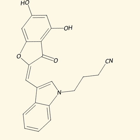 N#CCCCn1cc(/C=C2/Oc3cc(O)cc(O)c3C2=O)c2ccccc21